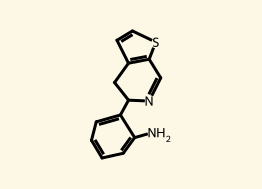 Nc1ccccc1C1Cc2ccsc2C=N1